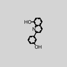 Oc1cccc(-c2ccc3cccc(O)c3n2)c1